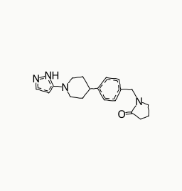 O=C1CCCN1Cc1ccc(C2CCN(c3ccn[nH]3)CC2)cc1